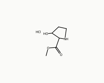 COC(=O)C1NCCC1O.Cl